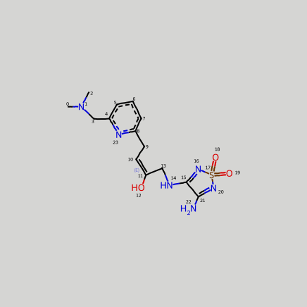 CN(C)Cc1cccc(C/C=C(/O)CNC2=NS(=O)(=O)N=C2N)n1